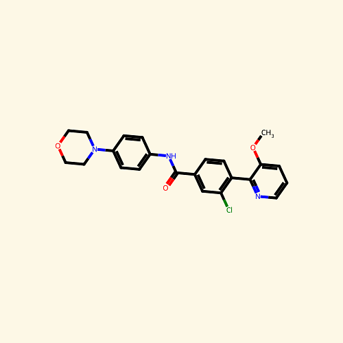 COc1cccnc1-c1ccc(C(=O)Nc2ccc(N3CCOCC3)cc2)cc1Cl